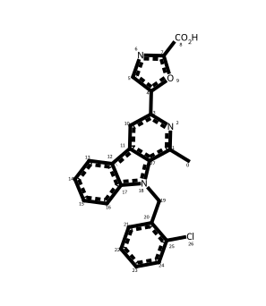 Cc1nc(-c2cnc(C(=O)O)o2)cc2c3ccccc3n(Cc3ccccc3Cl)c12